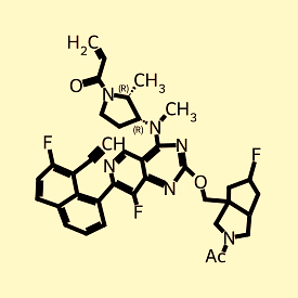 C#Cc1c(F)ccc2cccc(-c3ncc4c(N(C)[C@@H]5CCN(C(=O)C=C)[C@@H]5C)nc(OCC56CC(F)CC5CN(C(C)=O)C6)nc4c3F)c12